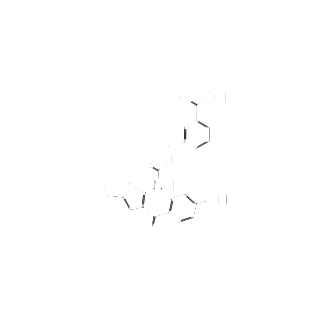 CCc1cc(C(=O)c2ccc(O)cc2)c(NC(=O)CSc2cccc(C(=O)O)c2)s1